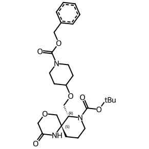 CC(C)(C)OC(=O)N1CCC[C@@]2(COCC(=O)N2)[C@@H]1COC1CCN(C(=O)OCc2ccccc2)CC1